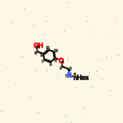 CCCCCCN=CCOc1ccc(CO)cc1